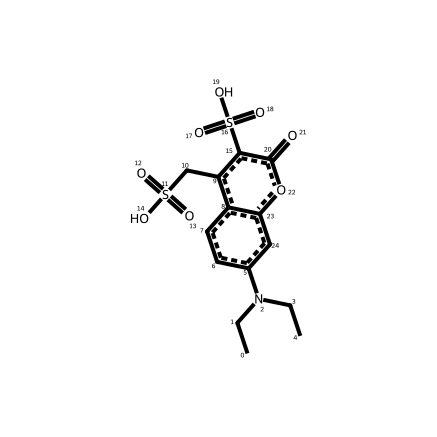 CCN(CC)c1ccc2c(CS(=O)(=O)O)c(S(=O)(=O)O)c(=O)oc2c1